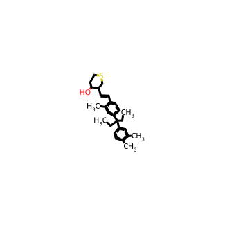 CCC(CC)(c1ccc(C)c(C)c1)c1ccc(/C=C/C2CSCCC2O)c(C)c1